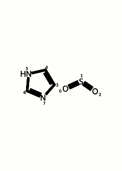 O=S=O.c1c[nH]cn1